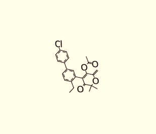 C=C1OC(C)(C)C(=O)C(c2cc(-c3ccc(Cl)cc3)ccc2CC)=C1OC(C)=O